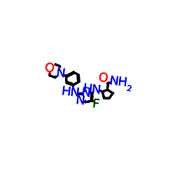 NC(=O)C1CCCC1Nc1nc(Nc2cccc(N3CCOCC3)c2)ncc1F